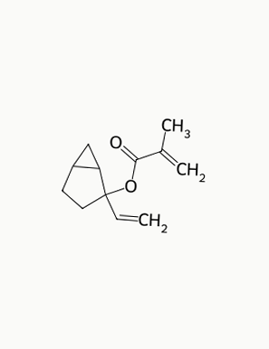 C=CC1(OC(=O)C(=C)C)CCC2CC21